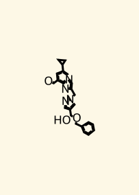 O=Cc1cc(C2CC2)cn2cc(Cn3cc(C(O)OCc4ccccc4)cn3)nc12